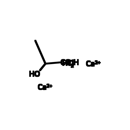 CC(O)C(=O)O.Cl.[Ca+2].[Ca+2]